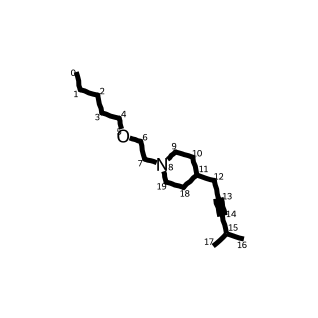 CCCCCOCCN1CCC(CC#CC(C)C)CC1